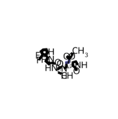 C#CC[C@H](NC(=O)c1ccc(-c2ccccc2C(F)(F)F)[nH]1)C(=O)N[C@H](/C=C/C(=O)OCC)C[C@@H]1CCNC1=O